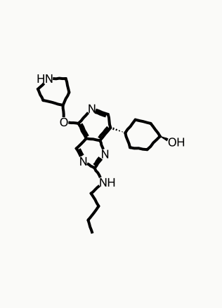 CCCCNc1ncc2c(OC3CCNCC3)ncc([C@H]3CC[C@H](O)CC3)c2n1